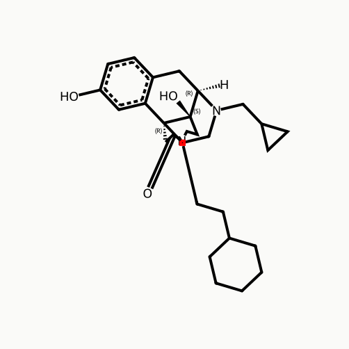 O=C1C[C@]23CCN(CC4CC4)[C@H](Cc4ccc(O)cc42)[C@]3(O)CCN1CCC1CCCCC1